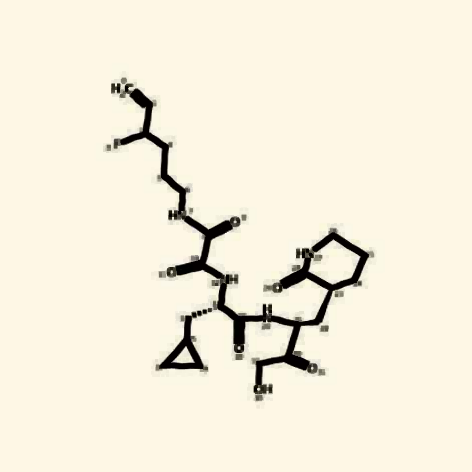 C=CC(F)CCCNC(=O)C(=O)N[C@@H](CC1CC1)C(=O)N[C@@H](C[C@@H]1CCCNC1=O)C(=O)CO